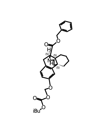 CCC(C)OC(=O)OCOc1ccc2c(c1)[C@]13CCCC[C@@H]1[C@H](C2)N(C(=O)OCc1ccccc1)CC3